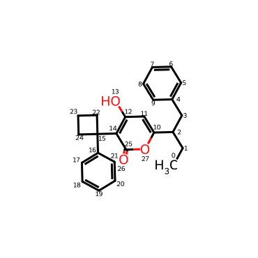 CCC(Cc1ccccc1)c1cc(O)c(C2(c3ccccc3)CCC2)c(=O)o1